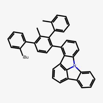 CCC(C)c1ccccc1-c1ccc(-c2cccc3c2c2cccc4c5ccccc5n3c42)c(-c2ccccc2C)c1C